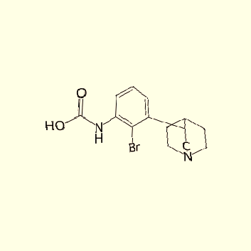 O=C(O)Nc1cccc(C2CN3CCC2CC3)c1Br